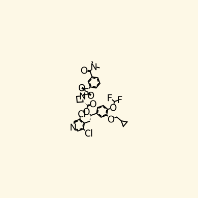 CN(C)C(=O)c1cccc(S(=O)(=O)N2CC[C@H]2C(=O)O[C@@H](Cc2c(Cl)cncc2Cl)c2ccc(OC(F)F)c(OCC3CC3)c2)c1